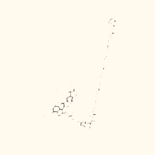 CC[C@@]1(O)C(=O)OCc2c1cc1n(c2=O)Cc2c-1nc1cc(F)c(C)c3c1c2[C@@H](NC(=O)[C@H](O)COCNC(=O)[C@H](C)NC(=O)[C@H](C)NC(=O)CCOCCOCCOCCOCCOCCOCCOCCOCCNC(=O)CCN1C(=O)C=CC1=O)CC3